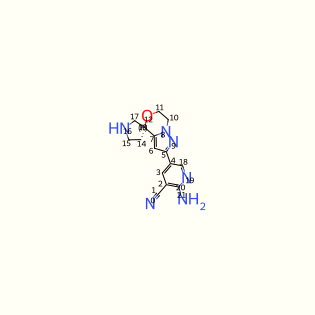 N#Cc1cc(-c2cc3n(n2)CCO[C@@]32CCNC2)cnc1N